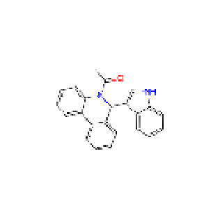 CC(=O)N1c2ccccc2-c2ccccc2C1c1c[nH]c2ccccc12